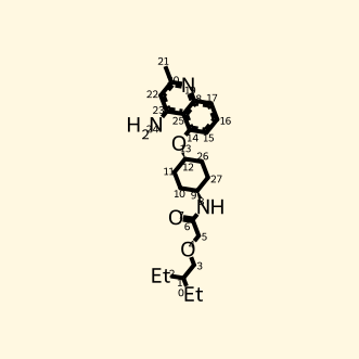 CCC(CC)COCC(=O)N[C@H]1CC[C@H](Oc2cccc3nc(C)cc(N)c23)CC1